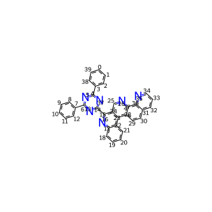 c1ccc(-c2nc(-c3ccccc3)nc(-c3nc4ccccc4c4c3cnc3c4ccc4cccnc43)n2)cc1